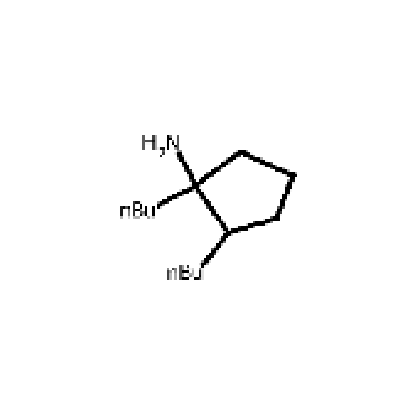 CCCCC1CCCC1(N)CCCC